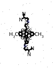 Cc1cc(C)c(-c2c3cc(-c4ccc(/C=c5/ccc(=C(C#N)C#N)s5)s4)sc3c(-c3c(C)cc(C)cc3C)c3cc(-c4ccc(/C=c5/ccc(=C(C#N)C#N)s5)s4)sc23)c(C)c1